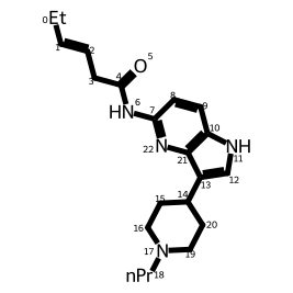 CC/C=C/CC(=O)Nc1ccc2[nH]cc(C3CCN(CCC)CC3)c2n1